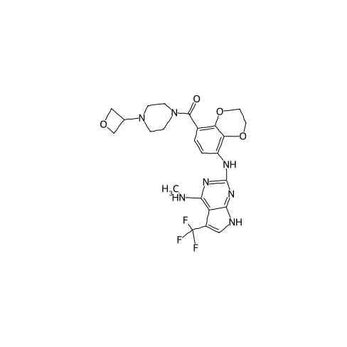 CNc1nc(Nc2ccc(C(=O)N3CCN(C4COC4)CC3)c3c2OCCO3)nc2[nH]cc(C(F)(F)F)c12